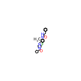 Cc1c(NC(=O)CCc2ccccc2)ccc(F)c1CN1CCN(C(=O)C2CCCC2)CC1